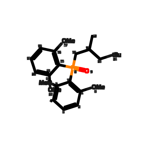 COc1cccc(OC)c1P(=O)(CC(C)CC(C)(C)C)c1c(OC)cccc1OC